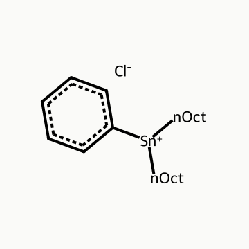 CCCCCCC[CH2][Sn+]([CH2]CCCCCCC)[c]1ccccc1.[Cl-]